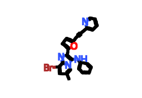 Cc1cc(Br)c2nc(-c3ccc(C#Cc4ccccn4)o3)c(Nc3ccccc3)n2c1